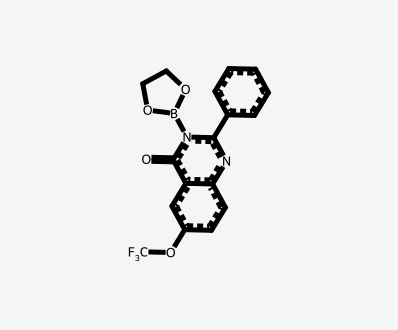 O=c1c2cc(OC(F)(F)F)ccc2nc(-c2ccccc2)n1B1OCCO1